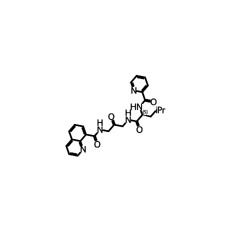 CC(C)C[C@H](NC(=O)c1ccccn1)C(=O)NCC(=O)CNC(=O)c1cccc2cccnc12